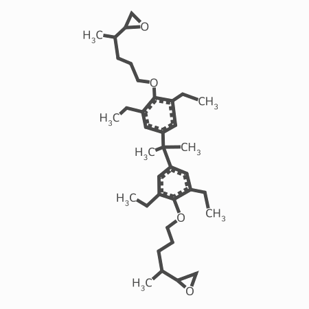 CCc1cc(C(C)(C)c2cc(CC)c(OCCCC(C)C3CO3)c(CC)c2)cc(CC)c1OCCCC(C)C1CO1